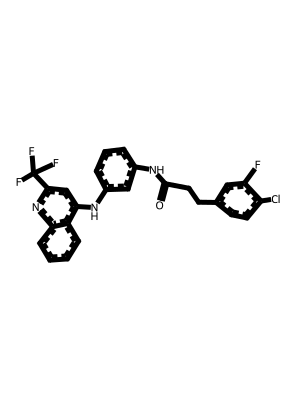 O=C(CCc1ccc(Cl)c(F)c1)Nc1cccc(Nc2cc(C(F)(F)F)nc3ccccc23)c1